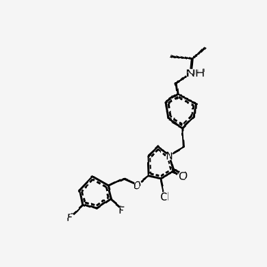 CC(C)NCc1ccc(Cn2ccc(OCc3ccc(F)cc3F)c(Cl)c2=O)cc1